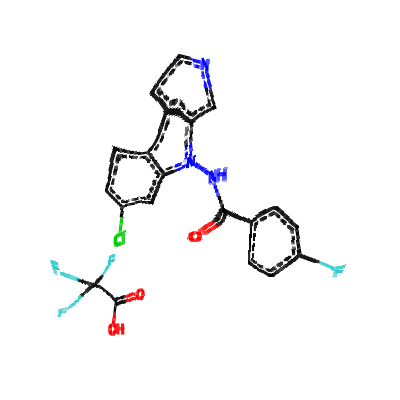 O=C(Nn1c2cnccc2c2ccc(Cl)cc21)c1ccc(F)cc1.O=C(O)C(F)(F)F